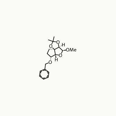 CO[C@H]1O[C@@H]2[C@H](OCc3ccccc3)CC[C@@]23OC(C)(C)O[C@@H]13